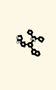 Cc1ncccc1-c1cccc(-c2cc(-c3ccc4ccccc4c3)cc(-c3nc(-c4ccccc4)cc(-c4ccccc4)n3)c2)c1